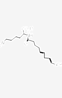 CCCCCC=CCC=CCCCC(=O)N[C@@H](CCCCN)C(=O)O